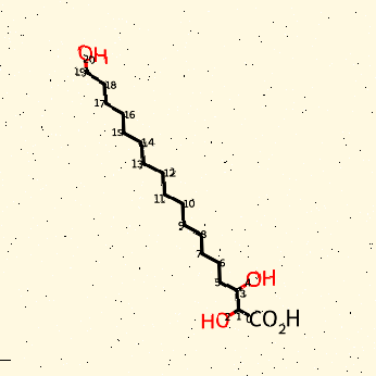 O=C(O)C(O)C(O)CCCCCCCCCCCCCCCO